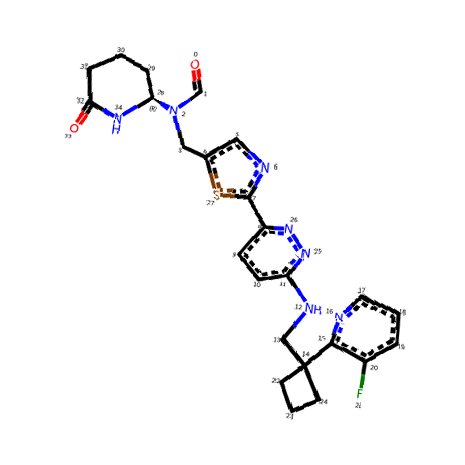 O=CN(Cc1cnc(-c2ccc(NCC3(c4ncccc4F)CCC3)nn2)s1)[C@@H]1CCCC(=O)N1